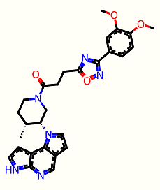 COc1ccc(-c2noc(CCC(=O)N3CC[C@@H](C)[C@@H](n4ccc5cnc6[nH]ccc6c54)C3)n2)cc1OC